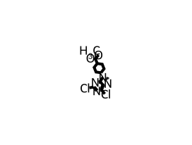 COC(=O)C1CCC(n2cnc3c(Cl)nc(Cl)nc32)CC1